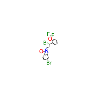 O=C1c2ccc(Br)cc2CN1CCC(Br)c1ccccc1OC(F)F